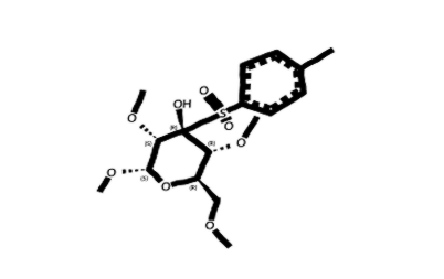 COC[C@H]1O[C@H](OC)[C@H](OC)[C@](O)(S(=O)(=O)c2ccc(C)cc2)[C@@H]1OC